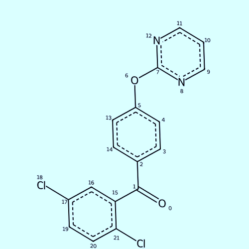 O=C(c1ccc(Oc2ncccn2)cc1)c1cc(Cl)ccc1Cl